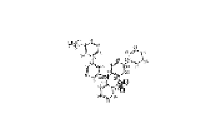 Cc1cccc(-c2cccc(N3c4ccccc4S(=O)(=O)c4cc(-c5ccccc5)ccc43)c2)c1